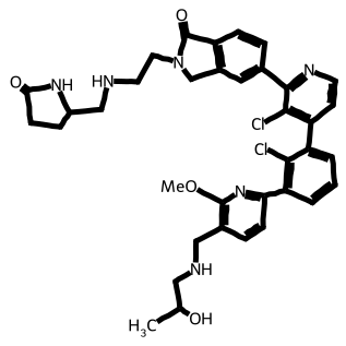 COc1nc(-c2cccc(-c3ccnc(-c4ccc5c(c4)CN(CCNCC4CCC(=O)N4)C5=O)c3Cl)c2Cl)ccc1CNCC(C)O